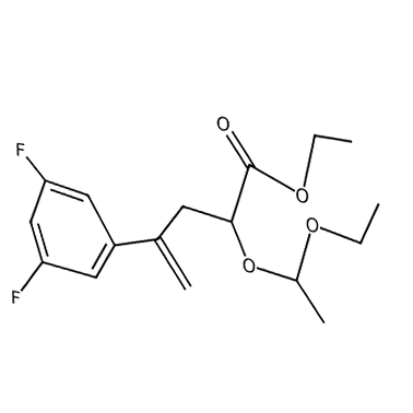 C=C(CC(OC(C)OCC)C(=O)OCC)c1cc(F)cc(F)c1